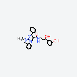 CN(Cc1ccccc1)c1ncc(C(=O)NCCC(O)c2cccc(O)c2)c(-c2ccccc2)n1